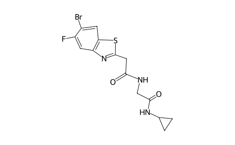 O=C(Cc1nc2cc(F)c(Br)cc2s1)NCC(=O)NC1CC1